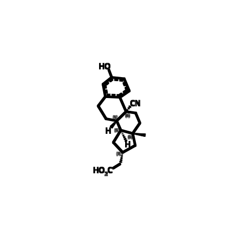 C[C@]12CC[C@]3(C#N)c4ccc(O)cc4CC[C@H]3[C@@H]1C[C@@H](CC(=O)O)C2